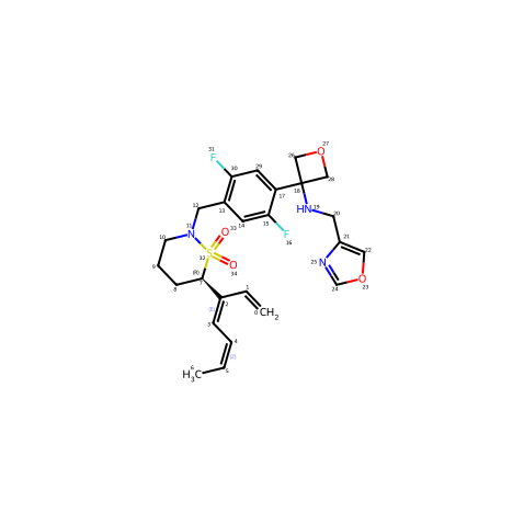 C=C/C(=C\C=C/C)[C@H]1CCCN(Cc2cc(F)c(C3(NCc4cocn4)COC3)cc2F)S1(=O)=O